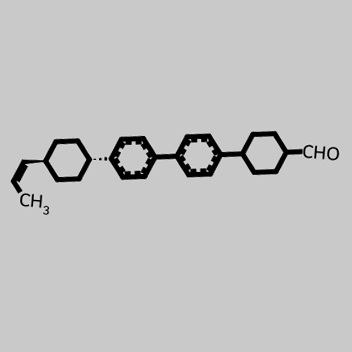 C/C=C\[C@H]1CC[C@H](c2ccc(-c3ccc(C4CCC(C=O)CC4)cc3)cc2)CC1